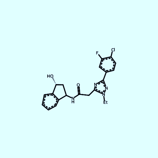 CCn1nc(-c2ccc(Cl)c(F)c2)nc1CC(=O)NC1C[C@@H](O)c2ccccc21